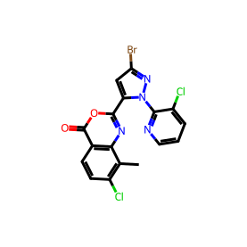 Cc1c(Cl)ccc2c(=O)oc(-c3cc(Br)nn3-c3ncccc3Cl)nc12